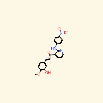 COc1ccc(/C=C/C(=O)c2cccnc2Nc2ccc([N+](=O)[O-])cc2)cc1O